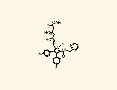 COC(=O)C[C@H](O)C[C@H](O)/C=C/c1c(-c2ccc(F)cc2)c(-c2ccc(F)cc2)c(C(=O)NCc2ccccn2)n1C(C)C